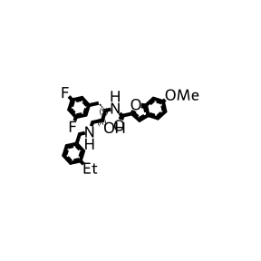 CCc1cccc(CNC[C@@H](O)[C@H](Cc2cc(F)cc(F)c2)NC(=O)c2cc3ccc(OC)cc3o2)c1